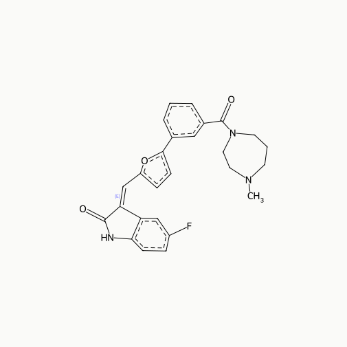 CN1CCCN(C(=O)c2cccc(-c3ccc(/C=C4/C(=O)Nc5ccc(F)cc54)o3)c2)CC1